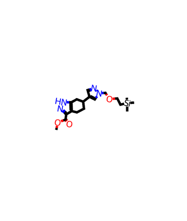 COC(=O)c1n[nH]c2c1CCC(c1cnn(COCC[Si](C)(C)C)c1)C2